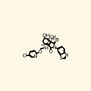 C[C@]12O[C@](CCOc3ccc(Cl)cn3)(C[C@@H]1O)[C@H]1C(=O)N(c3ccc4ncsc4c3)C(=O)[C@H]12